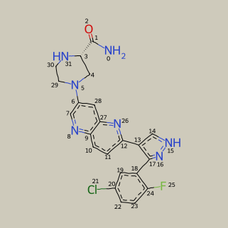 NC(=O)[C@@H]1CN(c2cnc3ccc(-c4c[nH]nc4-c4cc(Cl)ccc4F)nc3c2)CCN1